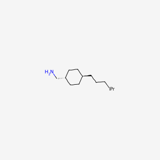 CC(C)CCC[C@H]1CC[C@H](CN)CC1